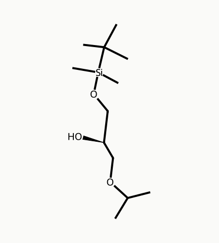 CC(C)OC[C@@H](O)CO[Si](C)(C)C(C)(C)C